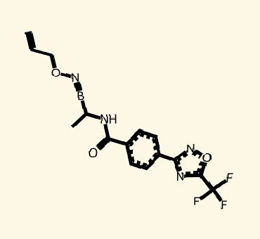 C=CCO/N=B/C(C)NC(=O)c1ccc(-c2noc(C(F)(F)F)n2)cc1